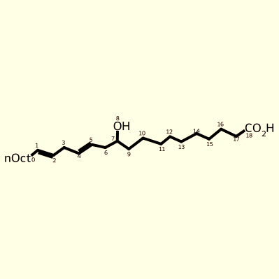 CCCCCCCCC=CCC=CCC(O)CCCCCCCCCC(=O)O